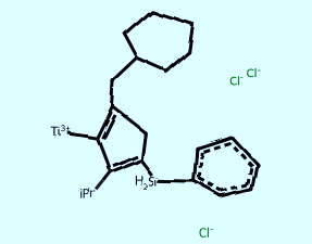 CC(C)C1=C([SiH2]c2ccccc2)CC(CC2CCCCC2)=[C]1[Ti+3].[Cl-].[Cl-].[Cl-]